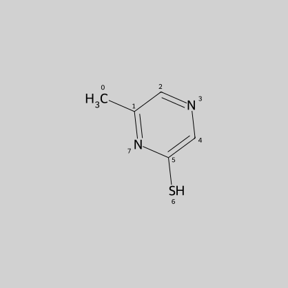 Cc1cncc(S)n1